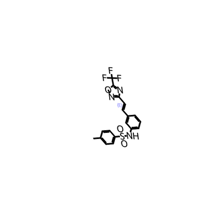 Cc1ccc(S(=O)(=O)Nc2cccc(/C=C/c3noc(C(F)(F)F)n3)c2)cc1